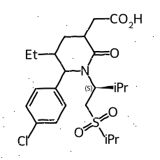 CCC1CC(CC(=O)O)C(=O)N([C@H](CS(=O)(=O)C(C)C)C(C)C)C1c1ccc(Cl)cc1